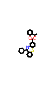 CC(OC(=O)c1ccc2c(c1)N=C(C1CCCCC1)c1ccccc1S2)c1ccccc1